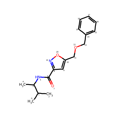 CC(C)C(C)NC(=O)c1cc(COCc2ccccc2)on1